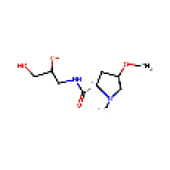 COC1C[C@@H](C(=O)NCC(O)CO)N(C)C1